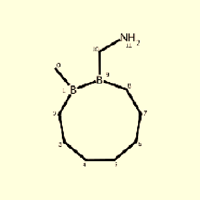 CB1CCCCCCCB1CN